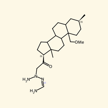 COCC12CC[C@H](C)CC1CCC1C2CCC2(C)C1CC[C@@H]2C(=O)CN(N)/N=C\N